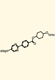 CCCCCCCc1cnc(-c2ccc(C(=O)OC3CCC(OCCCCCC)CC3)cc2)nc1